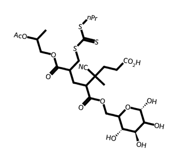 CCCSC(=S)SCC(CC(C(=O)OCC1O[C@H](O)C(O)[C@@H](O)[C@@H]1O)C(C)(C#N)CCC(=O)O)C(=O)OCC(C)OC(C)=O